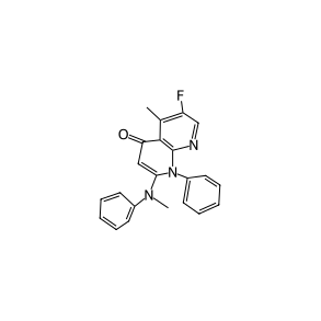 Cc1c(F)cnc2c1c(=O)cc(N(C)c1ccccc1)n2-c1ccccc1